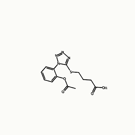 CC(=O)Oc1ccccc1-n1nnnc1SCCCC(=O)O